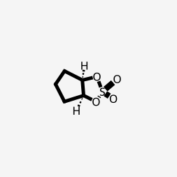 O=S1(=O)O[C@H]2CCC[C@H]2O1